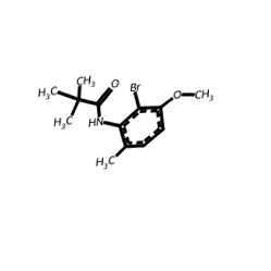 COc1ccc(C)c(NC(=O)C(C)(C)C)c1Br